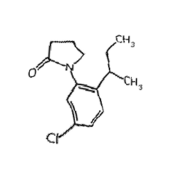 CCC(C)c1ccc(Cl)cc1N1CCCC1=O